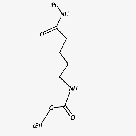 CC(C)NC(=O)CCCCNC(=O)OC(C)(C)C